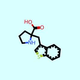 O=C(O)C1(Cc2csc3ccccc23)CCCN1